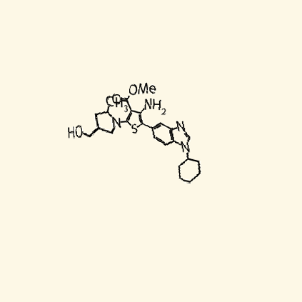 COC(=O)c1c(N2CC(CO)CC2C)sc(-c2ccc3c(c2)ncn3C2CCCCC2)c1N